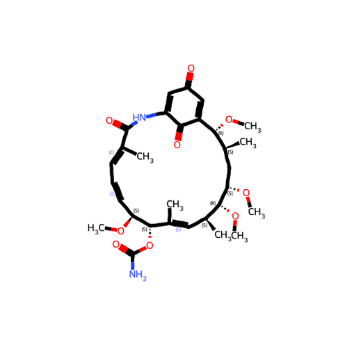 CO[C@H]1[C@@H](OC)C[C@H](C)[C@@H](OC)C2=CC(=O)C=C(NC(=O)/C(C)=C/C=C\[C@H](OC)[C@@H](OC(N)=O)/C(C)=C/[C@@H]1C)C2=O